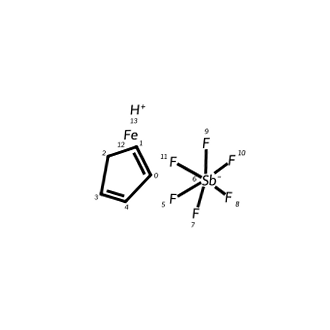 C1=CCC=C1.[F][Sb-]([F])([F])([F])([F])[F].[Fe].[H+]